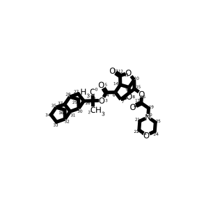 CC(C)(OC(=O)C1C2OC3C(OC(=O)C31)C2OC(=O)CN1CCOCC1)C1CC2CC1C1C3CCC(C3)C21